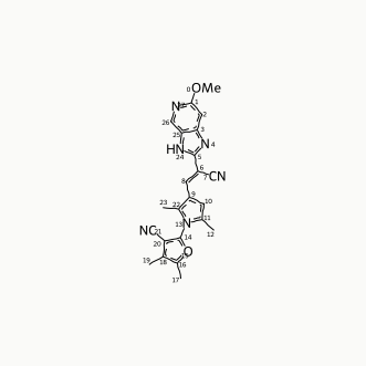 COc1cc2nc(/C(C#N)=C/c3cc(C)n(-c4oc(C)c(C)c4C#N)c3C)[nH]c2cn1